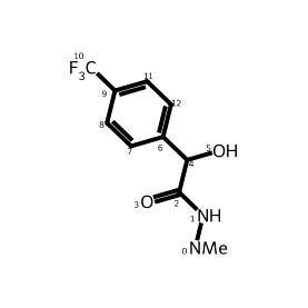 CNNC(=O)C(O)c1ccc(C(F)(F)F)cc1